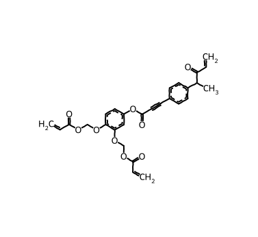 C=CC(=O)OCOc1ccc(OC(=O)C#Cc2ccc(C(C)C(=O)C=C)cc2)cc1OCOC(=O)C=C